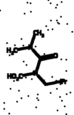 CC(C)CN(C(=O)O)C(=O)N(C)C